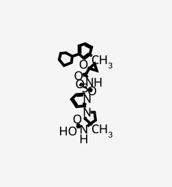 Cc1cccc(C2CCCCC2)c1OC1(C(=O)NS(=O)(=O)c2cccc(N3CCC(C)(NC(=O)O)C3)n2)CC1